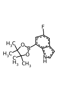 CC1(C)OB(c2cc(F)cc3cc[nH]c23)OC1(C)C